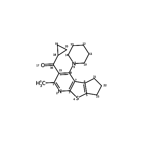 Cc1nc2sc3c(c2c(N2CCCCC2)c1C(=O)C1CC1)CCC3